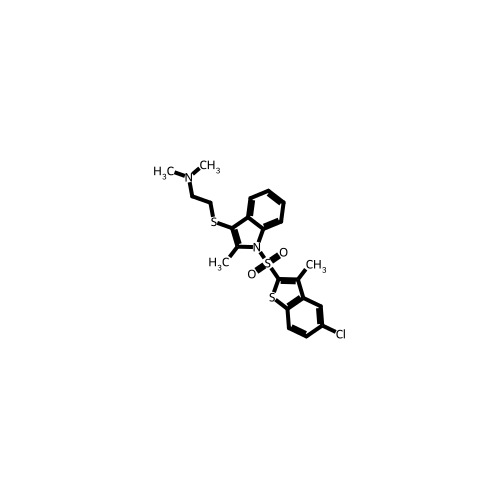 Cc1c(S(=O)(=O)n2c(C)c(SCCN(C)C)c3ccccc32)sc2ccc(Cl)cc12